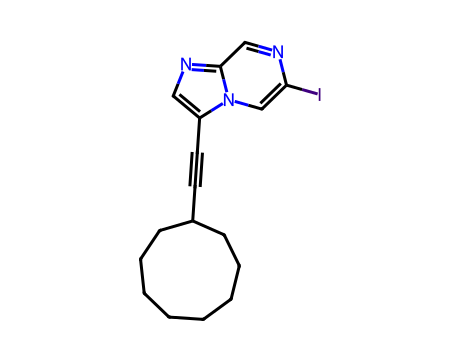 Ic1cn2c(C#CC3CCCCCCCC3)cnc2cn1